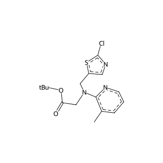 Cc1cccnc1N(CC(=O)OC(C)(C)C)Cc1cnc(Cl)s1